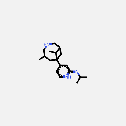 CC1CNCC2CC(c3cc[nH]/c(=N\C(C)C)c3)(C1)C2C